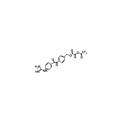 N=C(N)Nc1ccc(C(=O)Nc2ccc(COC(=O)NOC(=O)C(F)(F)F)cc2)cc1